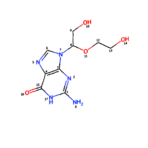 Nc1nc2c(ncn2C(CO)OCCO)c(=O)[nH]1